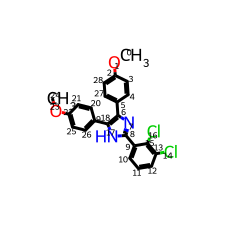 COc1ccc(-c2nc(-c3cccc(Cl)c3Cl)[nH]c2-c2ccc(OC)cc2)cc1